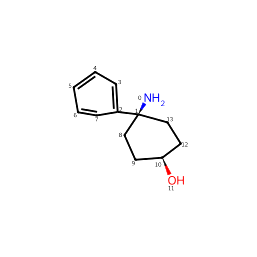 N[C@]1(c2ccccc2)CC[C@H](O)CC1